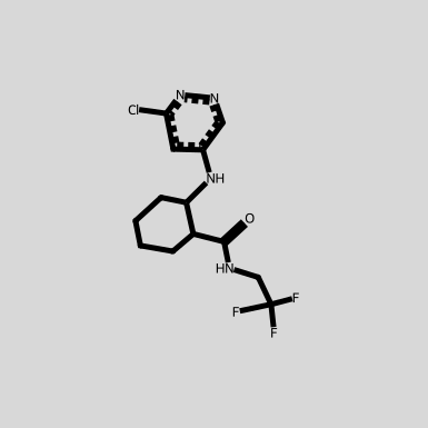 O=C(NCC(F)(F)F)C1CCCCC1Nc1cnnc(Cl)c1